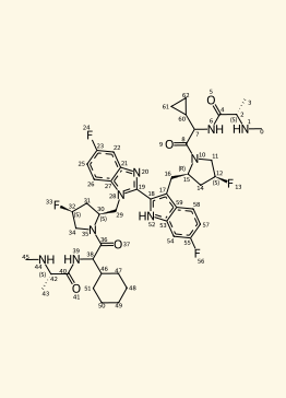 CN[C@@H](C)C(=O)NC(C(=O)N1C[C@@H](F)C[C@H]1Cc1c(-c2nc3cc(F)ccc3n2C[C@@H]2C[C@H](F)CN2C(=O)C(NC(=O)[C@H](C)NC)C2CCCCC2)[nH]c2cc(F)ccc12)C1CC1